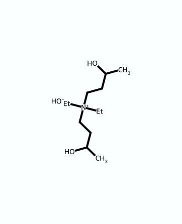 CC[N+](CC)(CCC(C)O)CCC(C)O.[OH-]